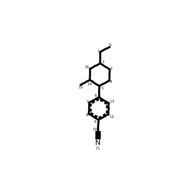 CCC1CCC(c2ccc(C#N)cc2)C(C)C1